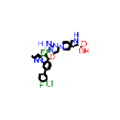 Cc1ccn(-c2cc(-c3ccc(F)c(Cl)c3)ccc2[C@@H](Oc2cc(N3CCC4(CC3)CN[C@H](C(=O)O)C4)nc(N)n2)C(F)(F)F)n1